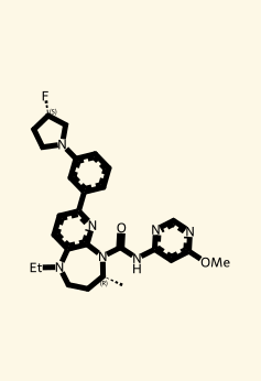 CCN1CC[C@@H](C)N(C(=O)Nc2cc(OC)ncn2)c2nc(-c3cccc(N4CC[C@H](F)C4)c3)ccc21